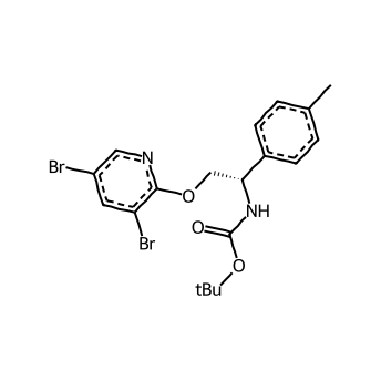 Cc1ccc([C@@H](COc2ncc(Br)cc2Br)NC(=O)OC(C)(C)C)cc1